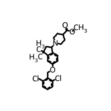 COC(=O)C1CCN(C2CC(C)(C)c3cc(OCc4c(Cl)cccc4Cl)ccc32)CC1